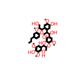 CCCc1ccc(OC(c2cc(OC)c(O)cc2C(CO)C(O)c2ccc(OC(CO)C(O)c3cc(OC)c(O)c(OC)c3)c(OC)c2)C(CO)OC)cc1